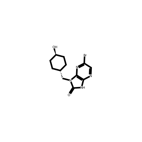 O=c1[nH]c2ncc(Br)nc2n1C[C@H]1CC[C@H](O)CC1